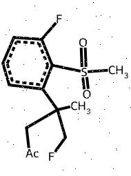 CC(=O)CC(C)(CF)c1cccc(F)c1S(C)(=O)=O